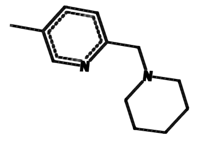 Cc1ccc(CN2CCCCC2)nc1